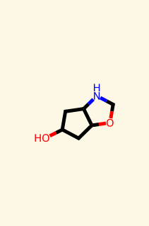 OC1CC2NCOC2C1